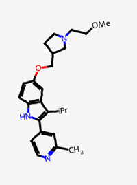 COCCN1CCC(COc2ccc3[nH]c(-c4ccnc(C)c4)c(C(C)C)c3c2)C1